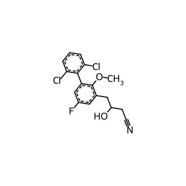 COc1c(CC(O)CC#N)cc(F)cc1-c1c(Cl)cccc1Cl